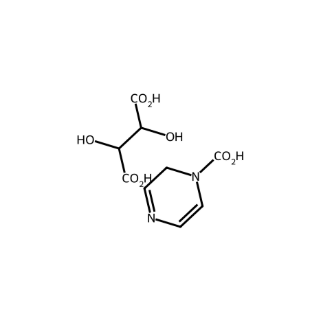 O=C(O)C(O)C(O)C(=O)O.O=C(O)N1C=CN=CC1